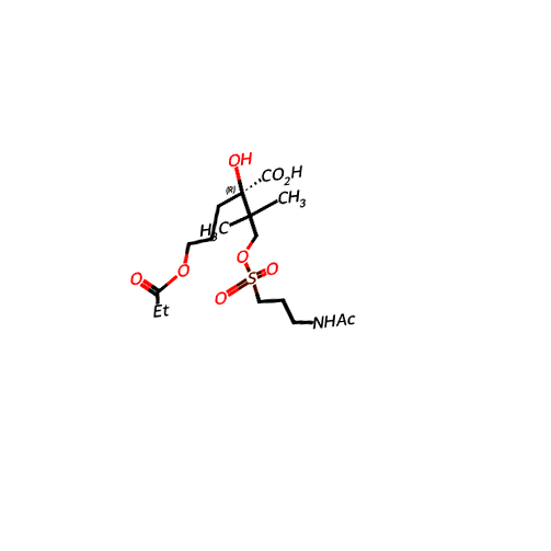 CCC(=O)OCCC[C@](O)(C(=O)O)C(C)(C)COS(=O)(=O)CCCNC(C)=O